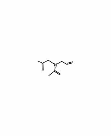 C=CCN(CC(=C)C)C(=C)C